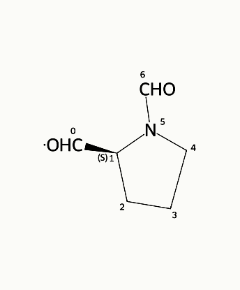 O=[C][C@@H]1CCCN1C=O